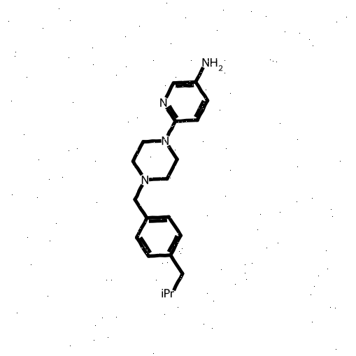 CC(C)Cc1ccc(CN2CCN(c3ccc(N)cn3)CC2)cc1